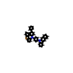 c1ccc(-c2ccc(N(c3ccc(-n4c5ccccc5c5cc6ccccc6cc54)cc3)c3cccc4sc5ccccc5c34)cc2)cc1